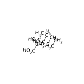 CC(=O)O.CC(=O)O.CC(=O)O.CC(=O)O.[CH2]C